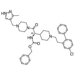 Cc1n[nH]cc1CN1CCN(C(=O)[C@H](NC(=O)OCc2ccccc2)C2CCN(CCc3cc(Cl)ccc3-c3ccccc3)CC2)CC1